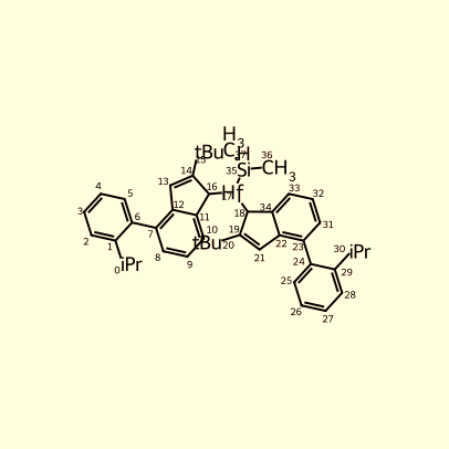 CC(C)c1ccccc1-c1cccc2c1C=C(C(C)(C)C)[CH]2[Hf]([CH]1C(C(C)(C)C)=Cc2c(-c3ccccc3C(C)C)cccc21)[SiH](C)C